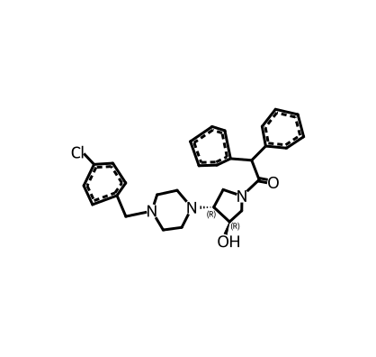 O=C(C(c1ccccc1)c1ccccc1)N1C[C@@H](O)[C@H](N2CCN(Cc3ccc(Cl)cc3)CC2)C1